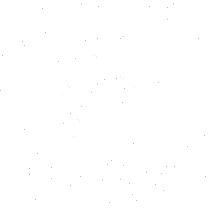 CC(C)(C)N.CC(F)(F)CN1C(=O)c2[nH]nc(-c3cccc4[nH]c(=O)oc34)c2C1c1ccc(Oc2ccc(OC(F)(F)F)cc2)cc1